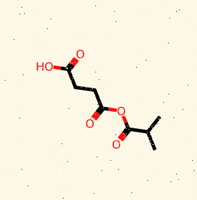 CC(C)C(=O)OC(=O)CCC(=O)O